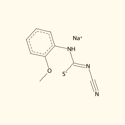 COc1ccccc1N/C([S-])=N/C#N.[Na+]